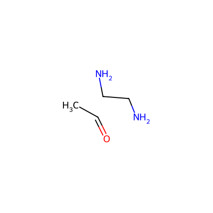 CC=O.NCCN